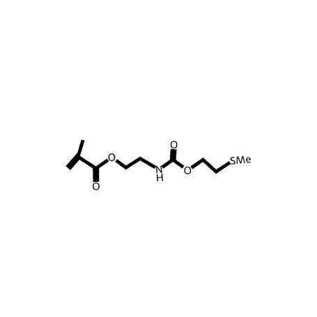 C=C(C)C(=O)OCCNC(=O)OCCSC